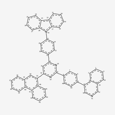 c1ccc2c(-c3ccc(-c4nc(-c5ccc(-n6c7ccccc7c7ccccc76)cc5)cc(-c5cc6ccccc6c6ccccc56)n4)cc3)cncc2c1